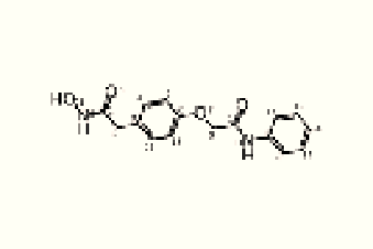 O=C(Cc1ccc(OCC(=O)Nc2ccccc2)cc1)NO